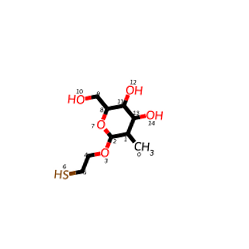 CC1C(OCCS)OC(CO)C(O)C1O